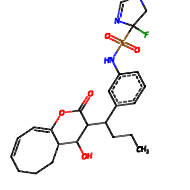 CCCC(c1cccc(NS(=O)(=O)C2(F)CNC=N2)c1)C1C(=O)OC2=CC=CCCCC2C1O